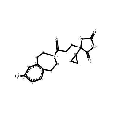 O=C1NC(=O)[C@](CCC(=O)N2CCc3ccc(C(F)(F)F)cc3CC2)(C2CC2)N1